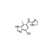 Cc1c(NC2=NCCN2)cc(C#N)c2nc[nH]c12